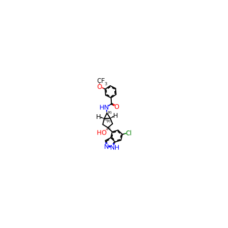 O=C(N[C@H]1[C@@H]2C[C@@](O)(c3cc(Cl)cc4[nH]ncc34)C[C@@H]21)c1cccc(OC(F)(F)F)c1